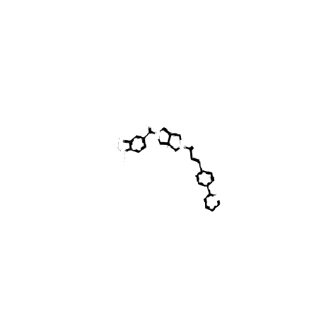 O=C(c1ccc2[nH]nnc2c1)N1C=C2CN(C(=O)C=Cc3ccc(-c4ccccn4)cc3)C[C@@H]2C1